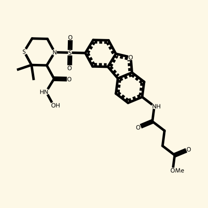 COC(=O)CCC(=O)Nc1ccc2c(c1)oc1ccc(S(=O)(=O)N3CCSC(C)(C)C3C(=O)NO)cc12